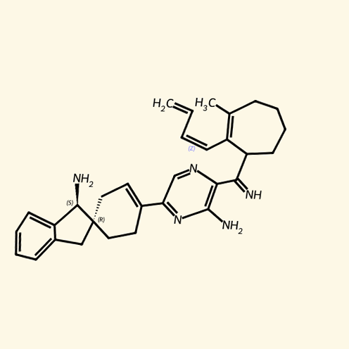 C=C/C=C\C1=C(C)CCCCC1C(=N)c1ncc(C2=CC[C@]3(CC2)Cc2ccccc2[C@H]3N)nc1N